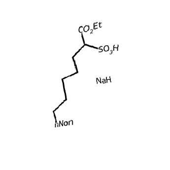 CCCCCCCCCCCCCCC(C(=O)OCC)S(=O)(=O)O.[NaH]